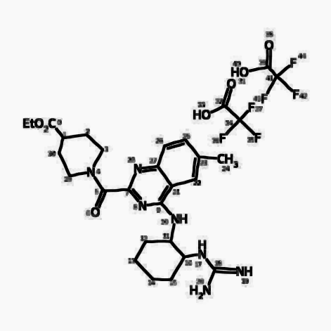 CCOC(=O)C1CCN(C(=O)c2nc(NC3CCCCC3NC(=N)N)c3cc(C)ccc3n2)CC1.O=C(O)C(F)(F)F.O=C(O)C(F)(F)F